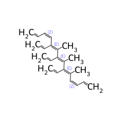 C=C\C=C/C(C)=C(C=C)/C(C)=C(C=C)/C(C)=C(C=C)/C=C\C=C